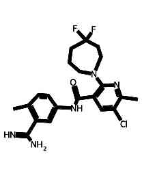 Cc1ccc(NC(=O)c2cc(Cl)c(C)nc2N2CCCC(F)(F)CC2)cc1C(=N)N